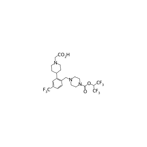 O=C(O)CN1CCC(c2cc(C(F)(F)F)ccc2CN2CCN(C(=O)OC(C(F)(F)F)C(F)(F)F)CC2)CC1